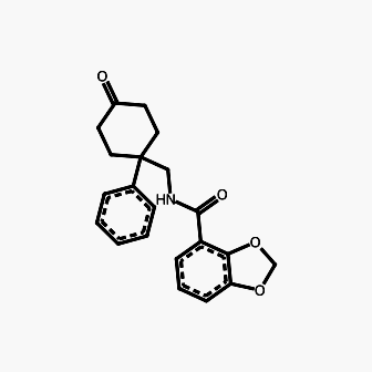 O=C1CCC(CNC(=O)c2cccc3c2OCO3)(c2ccccc2)CC1